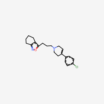 Clc1ccc(C2=CCN(CCCc3onc4c3CCCC4)CC2)cc1